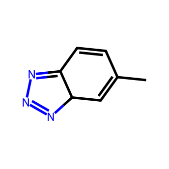 CC1=CC2N=NN=C2C=C1